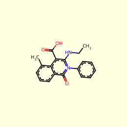 CCNc1c(C(=O)O)c2c(C)cccc2c(=O)n1-c1ccccc1